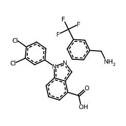 NCc1cccc(C(F)(F)F)c1.O=C(O)c1cccc2c1cnn2-c1ccc(Cl)c(Cl)c1